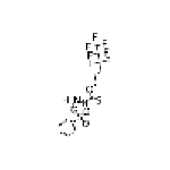 NN(OS(=O)(=O)c1ccccc1)C(=S)OCCCC(F)(F)C(F)(F)C(F)(F)F